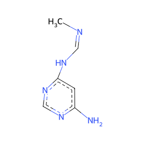 C/N=C\Nc1cc(N)ncn1